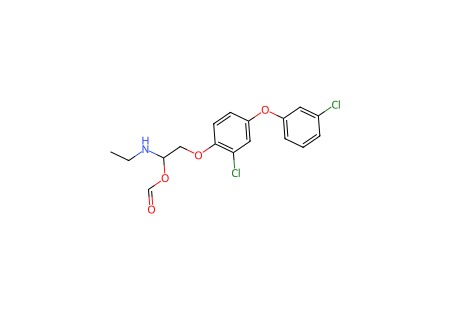 CCNC(COc1ccc(Oc2cccc(Cl)c2)cc1Cl)OC=O